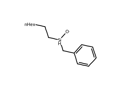 CCCCCCCC[SiH]([O])Cc1ccccc1